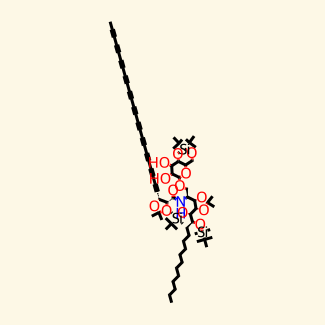 CC#CC#CC#CC#CC#CC#CC#CC#CC#CC#CC#C[C@H]1OC(C)(C)O[C@H]1C(=O)N[C@@H](COC1OC2CO[Si](C(C)(C)C)(C(C)(C)C)OC2C(O)C1O)[C@@H]1OC(C)(C)O[C@@H]1[C@@H](O[Si](C)(C)C(C)(C)C)[C@H](CCCCCCCCCCCC)O[Si](C)(C)C(C)(C)C